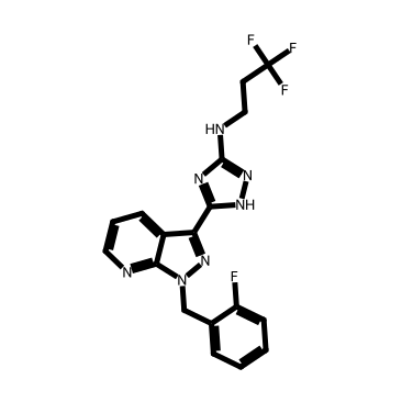 Fc1ccccc1Cn1nc(-c2nc(NCCC(F)(F)F)n[nH]2)c2cccnc21